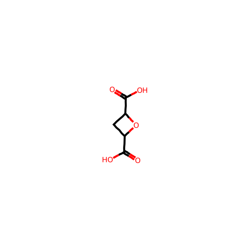 O=C(O)C1CC(C(=O)O)O1